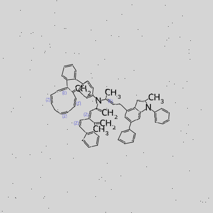 C=C(C)C(/C=C\c1ccccc1)=C\C(=C)N(/C(C)=C/Cc1cc(-c2ccccc2)cc2c1cc(C)n2-c1ccccc1)c1ccc(-c2ccccc2/C2=C/C=C\C/C=C\C=C/C2=C)cc1